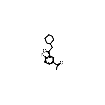 CC(=O)c1ccc2noc(CC3CCCCC3)c2c1